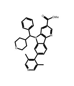 COC(=O)c1cnc2c3ccc(-c4c(C)cncc4C)cc3n(C(c3ccccc3)C3CCOCC3)c2c1